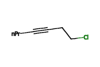 CCCC#CCCCl